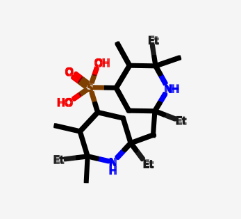 CCC1(C)CC(S(=O)(O)(O)C2CC(C)(CC)NC(C)(CC)C2C)C(C)C(C)(CC)N1